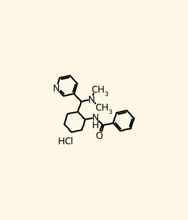 CN(C)C(c1cccnc1)C1CCCCC1NC(=O)c1ccccc1.Cl